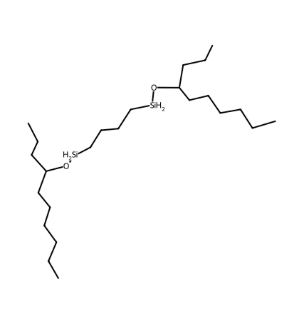 CCCCCCC(CCC)O[SiH2]CCCC[SiH2]OC(CCC)CCCCCC